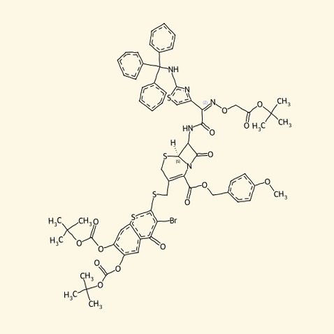 COc1ccc(COC(=O)C2=C(CSc3sc4cc(OC(=O)OC(C)(C)C)c(OC(=O)OC(C)(C)C)cc4c(=O)c3Br)CS[C@H]3C(NC(=O)/C(=N\OCC(=O)OC(C)(C)C)c4csc(NC(c5ccccc5)(c5ccccc5)c5ccccc5)n4)C(=O)N23)cc1